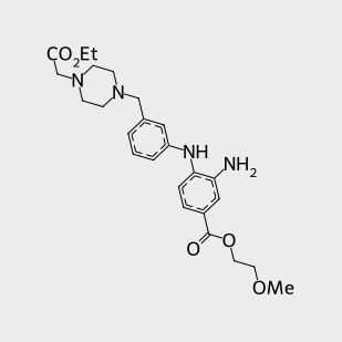 CCOC(=O)CN1CCN(Cc2cccc(Nc3ccc(C(=O)OCCOC)cc3N)c2)CC1